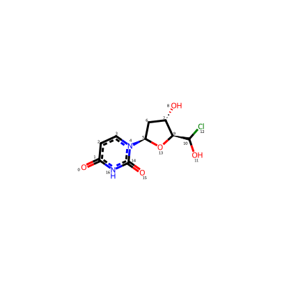 O=c1ccn([C@H]2C[C@H](O)[C@@H](C(O)Cl)O2)c(=O)[nH]1